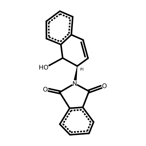 O=C1c2ccccc2C(=O)N1[C@@H]1C=Cc2ccccc2C1O